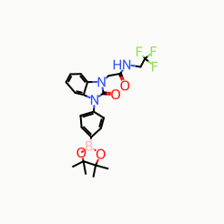 CC1(C)OB(c2ccc(-n3c(=O)n(CC(=O)NCC(F)(F)F)c4ccccc43)cc2)OC1(C)C